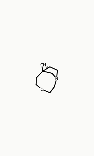 CC12CCCCCN(CC1)C2